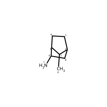 CC1C2CCC1C(N)C2